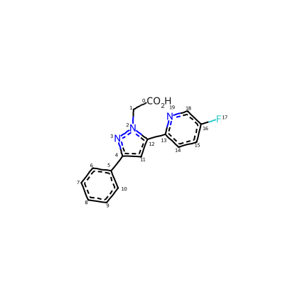 O=C(O)Cn1nc(-c2ccccc2)cc1-c1ccc(F)cn1